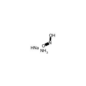 N.O=NO.[NaH]